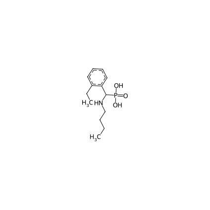 CCCCNC(c1ccccc1CC)P(=O)(O)O